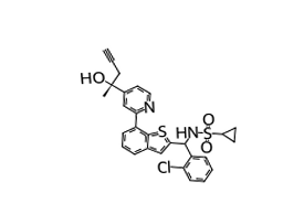 C#CC[C@@](C)(O)c1ccnc(-c2cccc3cc(C(NS(=O)(=O)C4CC4)c4ccccc4Cl)sc23)c1